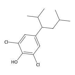 CC(C)CC(c1cc(Cl)c(O)c(Cl)c1)C(C)C